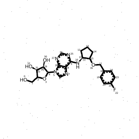 OCC1OC(n2cnc3c(N[C@H]4CCCC4OCc4ccc(F)cc4)ncnc32)[C@H](O)[C@@H]1O